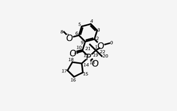 COc1cccc(OC)c1C(=O)P(=O)(C1CCCC1)C(C)(C)C